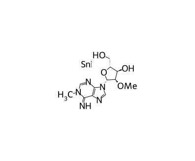 CO[C@@H]1[C@H](O)[C@@H](CO)O[C@H]1n1cnc2c(=N)n(C)cnc21.[Sn]